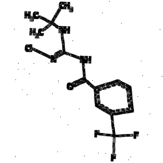 CC(C)(C)NC(=NCl)NC(=O)c1cccc(C(F)(F)F)c1